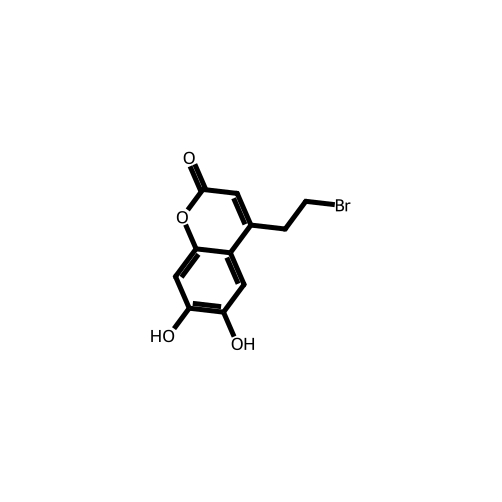 O=c1cc(CCBr)c2cc(O)c(O)cc2o1